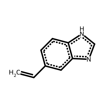 C=Cc1ccc2[nH]cnc2c1